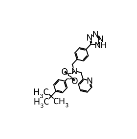 CC(C)(C)c1ccc(S(=O)(=O)N(Cc2ccc(-c3nnn[nH]3)cc2)Cc2ccccn2)cc1